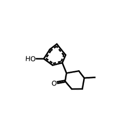 CC1CCC(=O)C(c2cccc(O)c2)C1